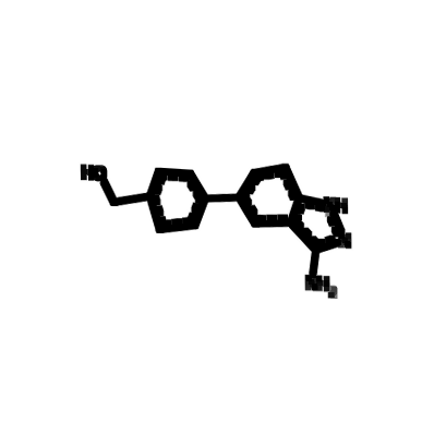 Nc1n[nH]c2ccc(-c3ccc(CO)cc3)cc12